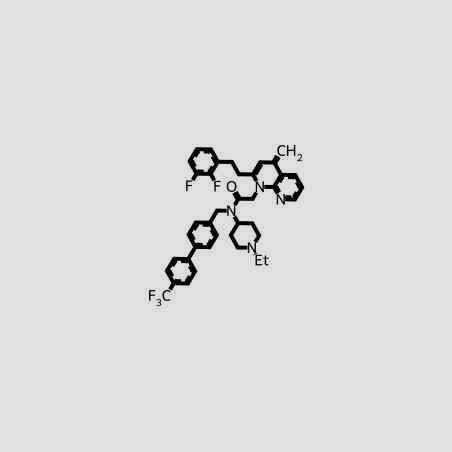 C=C1C=C(CCc2cccc(F)c2F)N(CC(=O)N(Cc2ccc(-c3ccc(C(F)(F)F)cc3)cc2)C2CCN(CC)CC2)c2ncccc21